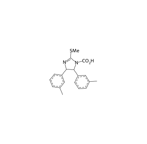 CSC1=NC(c2cccc(C)c2)C(c2cccc(C)c2)N1C(=O)O